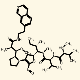 CC[C@H](C)C([C@H]1CC(N2CCC[C@H]2[C@H](OC)[C@@H](C)C(=O)NCCc2ccc3ccncc3c2)=C(N=O)O1)N(C)C(=O)[C@@H](NC(=O)[C@@H](NC)C(C)C)C(C)C